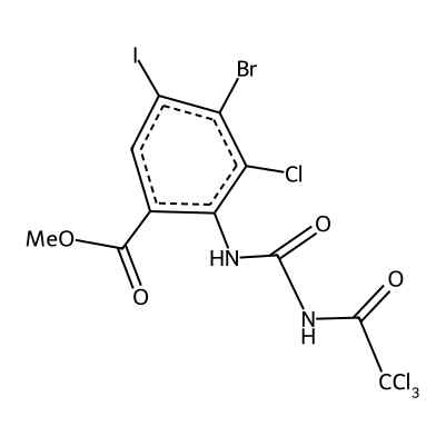 COC(=O)c1cc(I)c(Br)c(Cl)c1NC(=O)NC(=O)C(Cl)(Cl)Cl